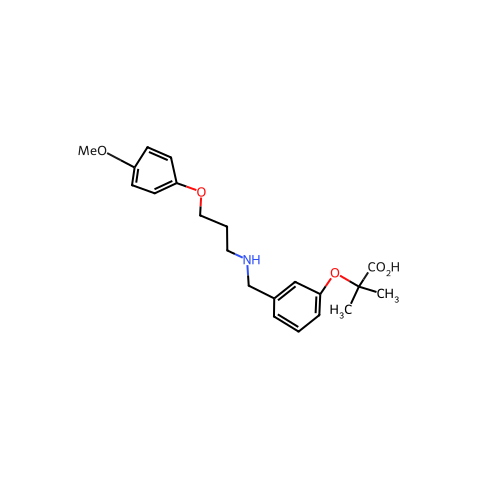 COc1ccc(OCCCNCc2cccc(OC(C)(C)C(=O)O)c2)cc1